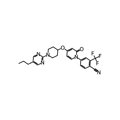 CCCc1cnc(N2CCC(Oc3ccn(-c4ccc(C#N)c(C(F)(F)F)c4)c(=O)c3)CC2)nc1